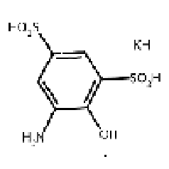 Nc1cc(S(=O)(=O)O)cc(S(=O)(=O)O)c1O.[KH]